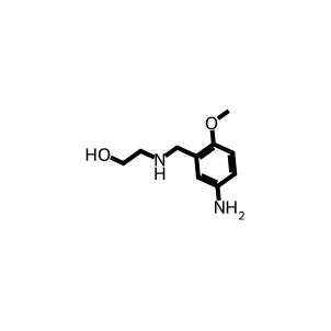 COc1ccc(N)cc1CNCCO